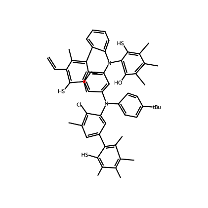 C=Cc1c(C)c(-c2ccccc2N(c2cccc(N(c3ccc(C(C)(C)C)cc3)c3cc(-c4c(C)c(C)c(C)c(C)c4S)cc(C)c3Cl)c2)c2c(O)c(C)c(C)c(C)c2S)c(C)c(C)c1S